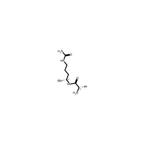 CC(C)[C@H](N)C(=O)N[C@@H](CCCNC(N)=O)C(C)(C)C